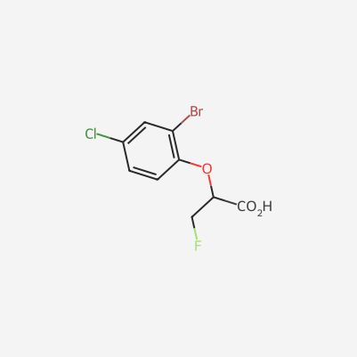 O=C(O)C(CF)Oc1ccc(Cl)cc1Br